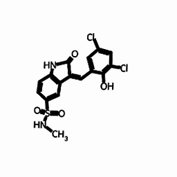 CNS(=O)(=O)c1ccc2c(c1)C(=Cc1cc(Cl)cc(Cl)c1O)C(=O)N2